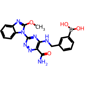 COc1nc2ccccc2n1-c1nnc(C(N)=O)c(NCc2cccc(B(O)O)c2)n1